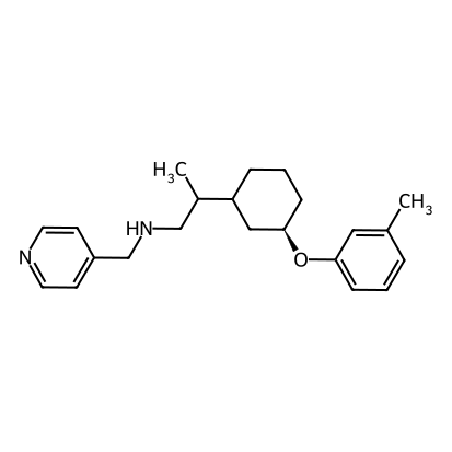 Cc1cccc(O[C@@H]2CCCC(C(C)CNCc3ccncc3)C2)c1